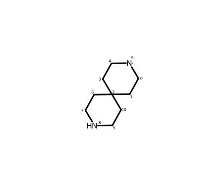 C1CC2(CC[N]1)CCNCC2